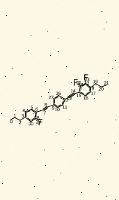 CCCc1ccc(C#Cc2ccc(C#Cc3ccc(CCC)c(F)c3F)cc2)c(F)c1